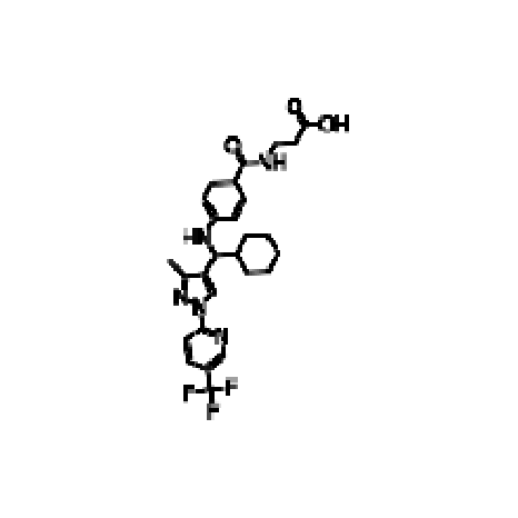 Cc1nn(-c2ccc(C(F)(F)F)cn2)cc1C(Nc1ccc(C(=O)NCCC(=O)O)cc1)C1CCCCC1